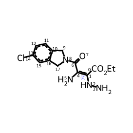 CCOC(=O)/C(NN)=C(/N)C(=O)N1Cc2ccc(Cl)cc2C1